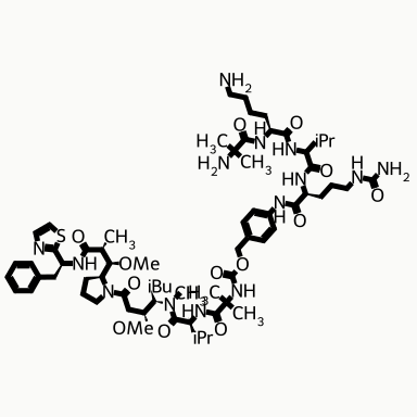 CC[C@H](C)[C@@H]([C@@H](CC(=O)N1CCC[C@H]1[C@H](OC)[C@@H](C)C(=O)N[C@@H](Cc1ccccc1)c1nccs1)OC)N(C)C(=O)[C@@H](NC(=O)C(C)(C)NC(=O)OCc1ccc(NC(=O)[C@H](CCCNC(N)=O)NC(=O)C(NC(=O)[C@H](CCCCN)NC(=O)C(C)(C)N)C(C)C)cc1)C(C)C